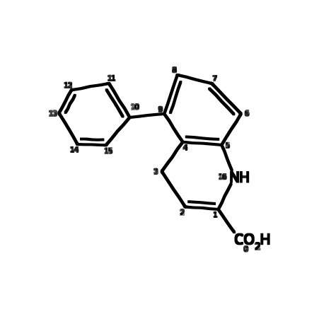 O=C(O)C1=CCc2c(cccc2-c2ccccc2)N1